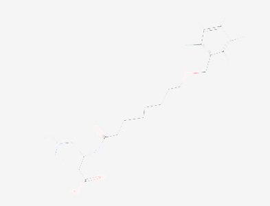 CN(C)CC(CC(=O)O)NC(=O)CCCCCCCOCc1c(F)c(F)c(F)c(F)c1F